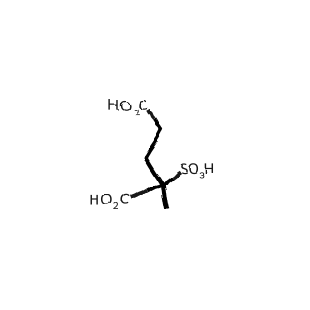 CC(CCC(=O)O)(C(=O)O)S(=O)(=O)O